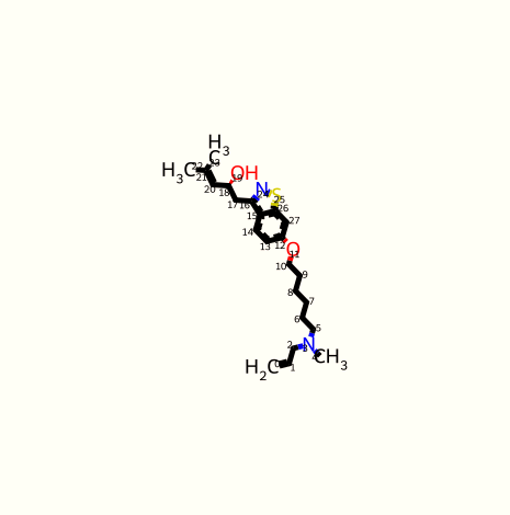 C=CCN(C)CCCCCCOc1ccc2c(C[C@H](O)C=C(C)C)nsc2c1